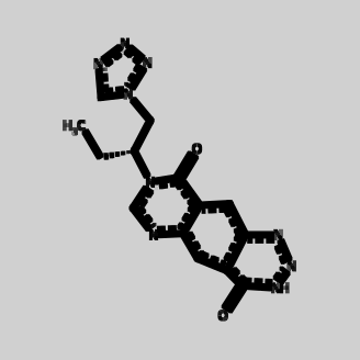 CC[C@H](Cn1cnnn1)n1cnc2cc3c(=O)[nH]nnc3cc2c1=O